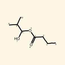 CCCC(=O)OC(O)C(C)C